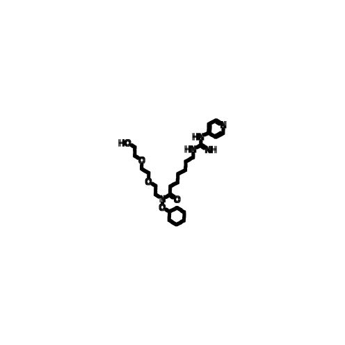 N=C(NCCCCCCC(=O)N(CCOCCOCCO)OC1CCCCC1)Nc1ccncc1